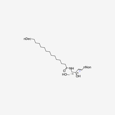 CCCCCCCCC/C=C/[C@@H](O)[C@H](CO)NC(=O)CCCCCCCCCCCCCCCCCCCCCCC